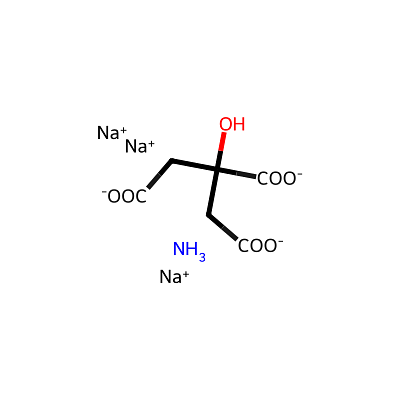 N.O=C([O-])CC(O)(CC(=O)[O-])C(=O)[O-].[Na+].[Na+].[Na+]